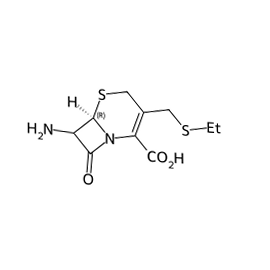 CCSCC1=C(C(=O)O)N2C(=O)C(N)[C@H]2SC1